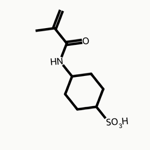 C=C(C)C(=O)NC1CCC(S(=O)(=O)O)CC1